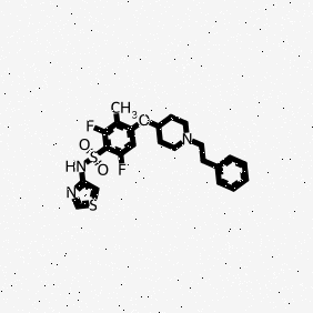 Cc1c(OC2CCN(CCc3ccccc3)CC2)cc(F)c(S(=O)(=O)Nc2cscn2)c1F